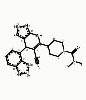 CN(C)C(=O)N1CCC(C2=C(C#N)C(c3cccc4nonc34)c3c[nH]nc3N2)CC1